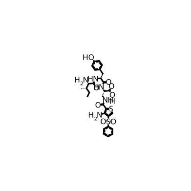 CC[C@H](C)[C@H](N)C(=O)N[C@@H](Cc1ccc(O)cc1)C(=O)N[C@@H](CNC(=O)c1scc(S(=O)(=O)c2ccccc2)c1N)C(=O)O